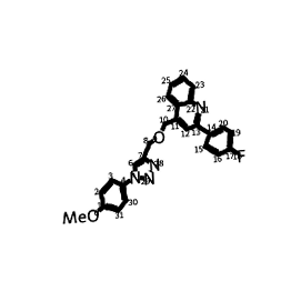 COc1ccc(-n2cc(COCc3cc(-c4ccc(F)cc4)nc4ccccc34)nn2)cc1